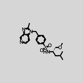 COC[C@H](CC(C)C)NS(=O)(=O)c1ccc(Cn2c(C)nc3cnccc32)cc1